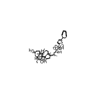 CC[C@H]1[C@@H](O)[C@@H]2[C@H](CC[C@]3(C)[C@@H]([C@H](C)CNC(=O)NS(=O)(=O)c4ccc(-c5ccccc5)s4)CC[C@@H]23)[C@@]2(C)CC[C@@H](O)C[C@@H]12